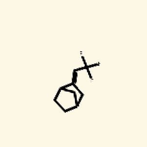 FC(F)(F)C=C1CC2CCC1C2